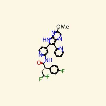 COc1cnc2c(-c3ccccn3)c(-c3ccnc(NC(=O)[C@@H](CC(F)F)c4ccc(F)cc4)c3)[nH]c2n1